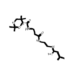 CC(C)=CC(O)=[SH]CCNC(=O)CCNC(=O)[C@@H]1OC(C)(C)OCC1(C)C